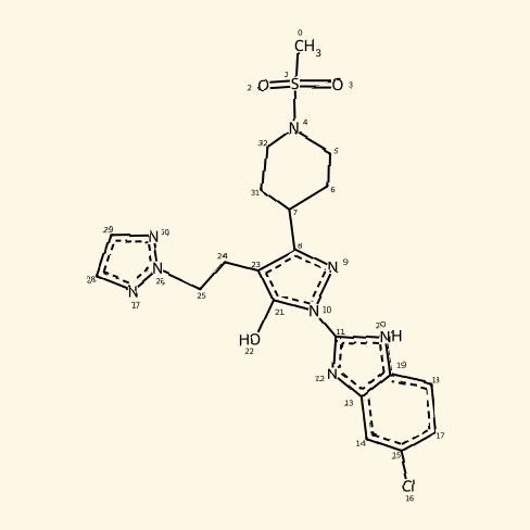 CS(=O)(=O)N1CCC(c2nn(-c3nc4cc(Cl)ccc4[nH]3)c(O)c2CCn2nccn2)CC1